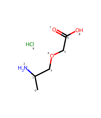 CC(N)COCC(=O)O.Cl